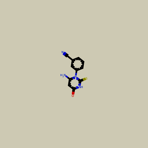 N#Cc1cccc(-n2c(N)cc(=O)[nH]c2=S)c1